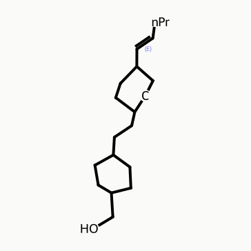 CCC/C=C/C1CCC(CCC2CCC(CO)CC2)CC1